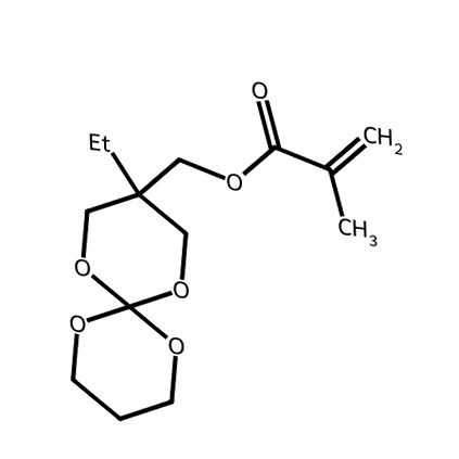 C=C(C)C(=O)OCC1(CC)COC2(OCCCO2)OC1